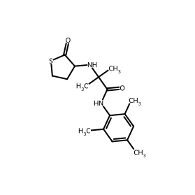 Cc1cc(C)c(NC(=O)C(C)(C)NC2CCSC2=O)c(C)c1